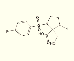 O=C(O)[C@]1(CO)C(I)CCN1S(=O)(=O)c1ccc(F)cc1